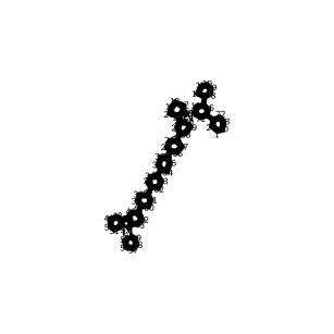 c1ccc(-c2cc(-c3ccccc3)cc(-n3c4ccccc4c4cc(-c5ccc(-c6ccc(-c7ccc(-c8ccc(-c9ccc%10c(c9)c9ccccc9n%10-c9ccccc9)cc8)cc7)cc6)cc5)ccc43)c2)cc1